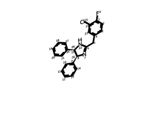 Fc1ccc(CC2=N[C@@H](c3ccccc3)[C@@H](c3ccccc3)N2)cc1Cl